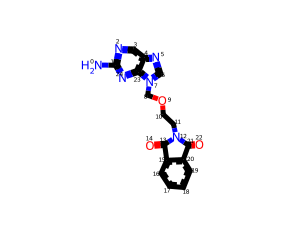 Nc1ncc2ncn(COCCN3C(=O)c4ccccc4C3=O)c2n1